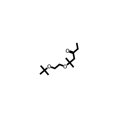 CCC(=O)CC(C)(C)OCCOC(C)(C)C